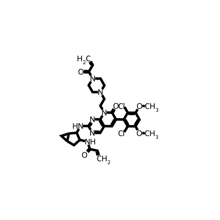 C=CC(=O)NC1CC2CC2C1Nc1ncc2cc(-c3c(Cl)c(OC)cc(OC)c3Cl)c(=O)n(CCN3CCN(C(=O)C=C)CC3)c2n1